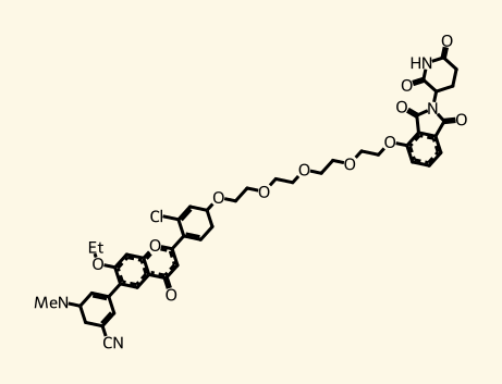 CCOc1cc2oc(C3=CCC(OCCOCCOCCOCCOc4cccc5c4C(=O)N(C4CCC(=O)NC4=O)C5=O)C=C3Cl)cc(=O)c2cc1C1=CC(NC)CC(C#N)=C1